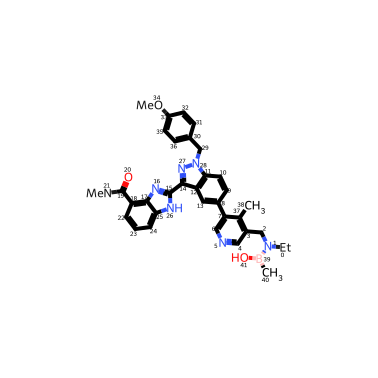 CCN(Cc1cncc(-c2ccc3c(c2)c(-c2nc4c(C(=O)NC)cccc4[nH]2)nn3Cc2ccc(OC)cc2)c1C)B(C)O